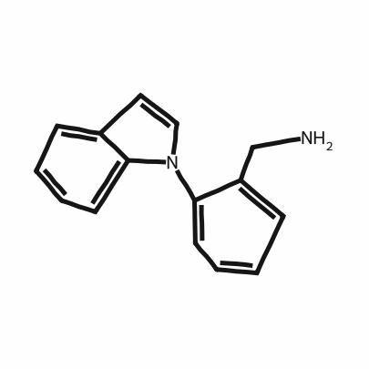 NCc1ccccc1-n1ccc2ccccc21